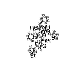 CCc1nc(CN(C)C(=O)N[C@H](C(=O)N[C@@H](Cc2ccccc2)C[C@H](O)[C@H](Cc2ccccc2)NC(=O)OCc2ccns2)C(C)C)cs1